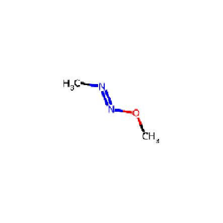 CN=NOC